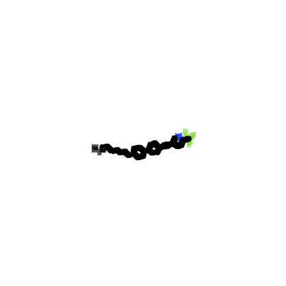 CCCCCCC[C@H]1CC[C@H](C2CCC(C#Cc3ccc(C(F)(F)F)nc3)CC2)CC1